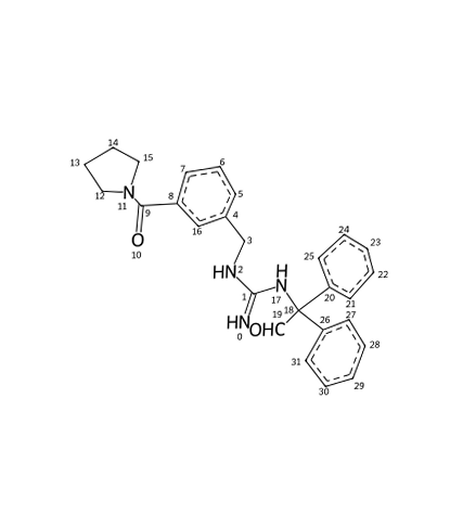 N=C(NCc1cccc(C(=O)N2CCCC2)c1)NC(C=O)(c1ccccc1)c1ccccc1